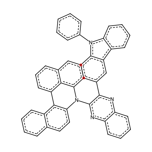 c1ccc(-n2c3ccccc3c3cc(-c4nc5ccccc5nc4N4c5ccc6ccccc6c5-c5cccc6cccc4c56)ccc32)cc1